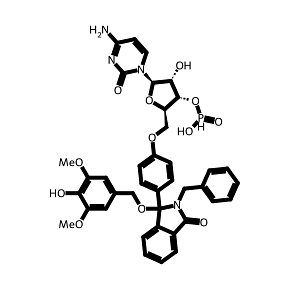 COc1cc(COC2(c3ccc(OC[C@H]4O[C@@H](n5ccc(N)nc5=O)[C@H](O)[C@@H]4O[PH](=O)O)cc3)c3ccccc3C(=O)N2Cc2ccccc2)cc(OC)c1O